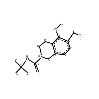 COc1c(CO)ccc2c1CCN(C(=O)OC(C)(C)C)C2